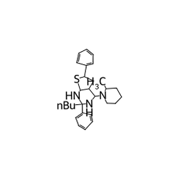 CCCCC1(c2ccccc2)NC2SC(c3ccccc3)CC2C(N2CCCCC2C)N1